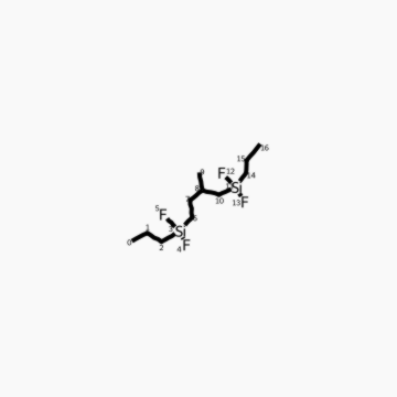 CCC[Si](F)(F)CCC(C)C[Si](F)(F)CCC